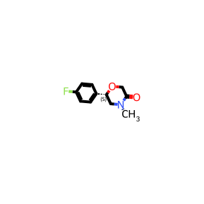 CN1C[C@H](c2ccc(F)cc2)OCC1=O